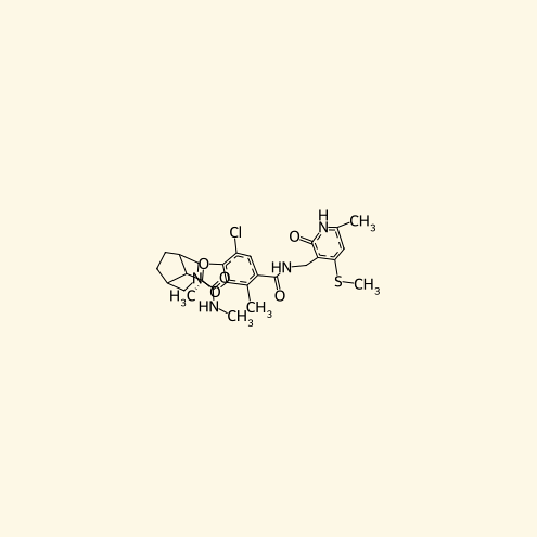 CNC(=O)N1CC2CCC(C1)C2[C@@]1(C)Oc2c(Cl)cc(C(=O)NCc3c(SC)cc(C)[nH]c3=O)c(C)c2O1